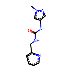 Cn1cc(NC(=O)NCc2ccccn2)cn1